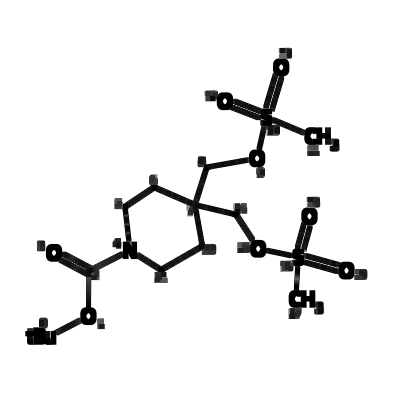 CC(C)(C)OC(=O)N1CCC(COS(C)(=O)=O)(COS(C)(=O)=O)CC1